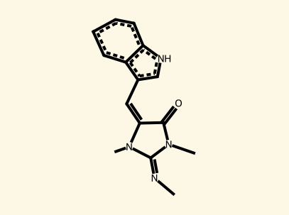 C/N=C1\N(C)C(=O)/C(=C\c2c[nH]c3ccccc23)N1C